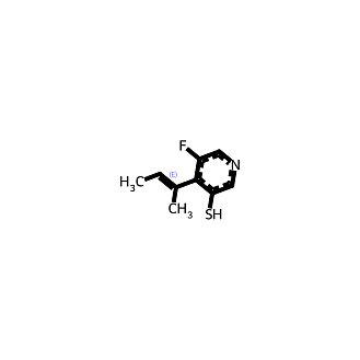 C/C=C(\C)c1c(F)cncc1S